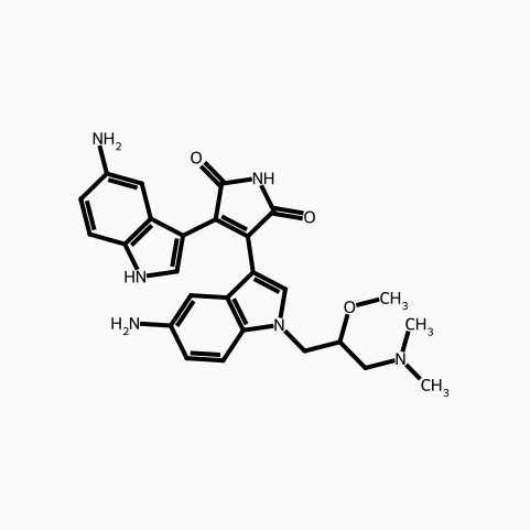 COC(CN(C)C)Cn1cc(C2=C(c3c[nH]c4ccc(N)cc34)C(=O)NC2=O)c2cc(N)ccc21